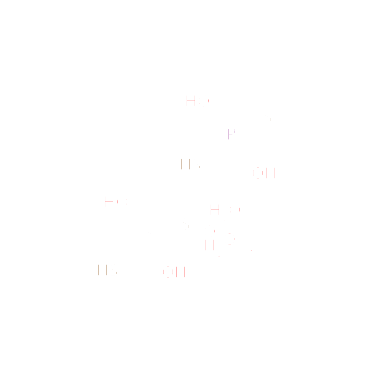 O.O.O.OP(O)(=S)S.OP(O)(=S)S